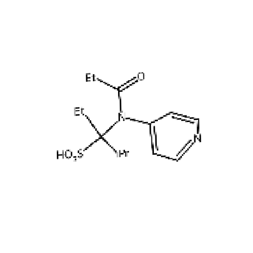 CCC(=O)N(c1ccncc1)C(CC)(C(C)C)S(=O)(=O)O